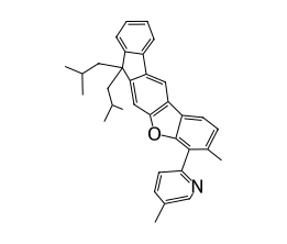 Cc1ccc(-c2c(C)ccc3c2oc2cc4c(cc23)-c2ccccc2C4(CC(C)C)CC(C)C)nc1